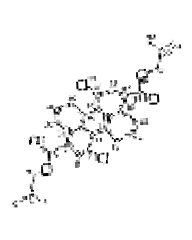 CC(C)COC(=O)c1cc(Cl)c2c3cccc4c(C(=O)OCC(C)C)cc(Cl)c(c5cccc1c52)c43